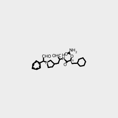 NC(=O)O[C@@H](CC1CCCCC1)C(=O)NC(C=O)CC1CCN(C(C=O)c2ccccc2)C1